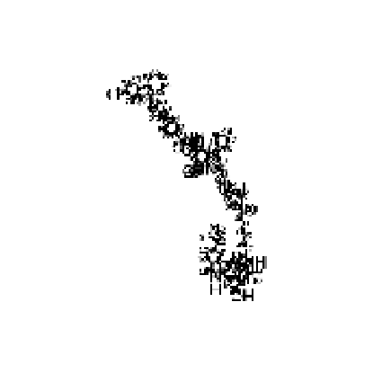 Cc1ncsc1-c1ccc([C@H](C)NC(=O)[C@@H]2C[C@@H](O)CN2C(=O)[C@@H](NC(=O)CCCCCCC(=O)N2CC3CN(CC[C@H](CSc4ccccc4)Nc4ccc(S(=O)(=O)NC(=O)c5ccc(N6CCN(CC7=C(c8ccc(Cl)cc8F)CCCCC7)CC6)cc5)cc4[S+]=O)C[C@@H]3C2)C(C)(C)C)cc1